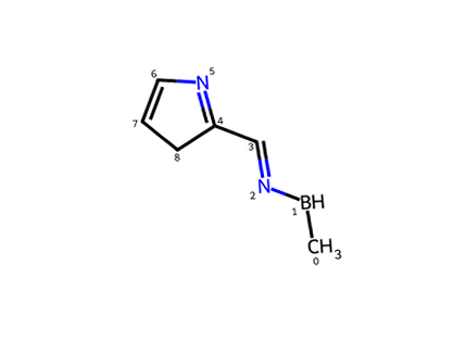 CBN=CC1=NC=CC1